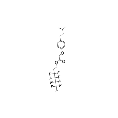 CC(C)CCc1ccc(OCC(=O)OCCC(F)(F)C(F)(F)C(F)(F)C(F)(F)F)cc1